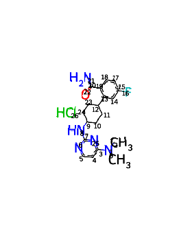 CN(C)c1ccnc(NC2CCC(c3cc(F)ccc3C(N)=O)CC2)n1.Cl